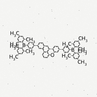 Cc1cc(C)c(B(c2ccc(-c3ccc4c(c3)Oc3cccc5c3c-4cc3ccc(-c4ccc(B(c6c(C)cc(C)cc6C)c6c(C)cc(C)cc6C)cc4)cc35)cc2)c2c(C)cc(C)cc2C)c(C)c1